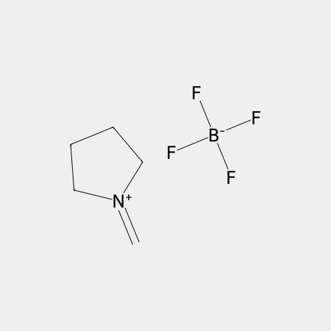 C=[N+]1CCCC1.F[B-](F)(F)F